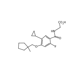 CC1(COc2cc(F)c(C(=O)NCC(=O)O)cc2C2CC2)CCCC1